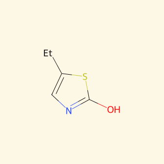 CCc1cnc(O)s1